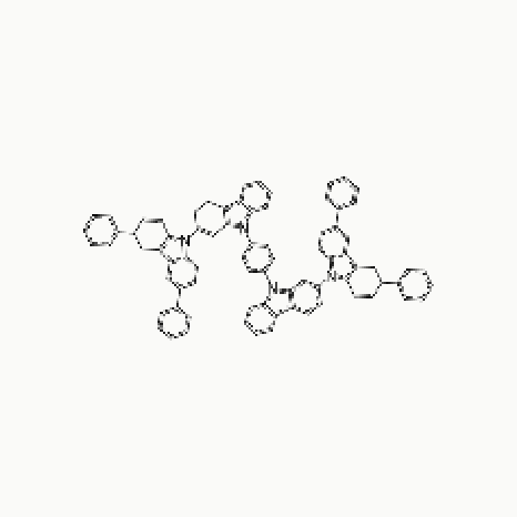 C1=CC(c2ccccc2)Cc2c1n(C1=Cc3c(c4ccccc4n3-c3ccc(-n4c5ccccc5c5ccc(-n6c7c(c8cc(-c9ccccc9)ccc86)CC(c6ccccc6)C=C7)cc54)cc3)CC1)c1ccc(-c3ccccc3)cc21